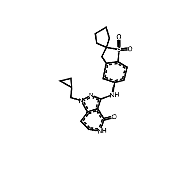 O=c1[nH]ccc2c1c(Nc1ccc3c(c1)CC1(CCCC1)S3(=O)=O)nn2CC1CC1